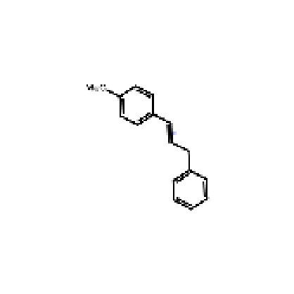 COc1ccc(/C=C/Cc2ccccc2)cc1